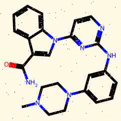 CN1CCN(c2cccc(Nc3nccc(-n4cc(C(N)=O)c5ccccc54)n3)c2)CC1